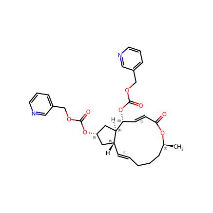 C[C@H]1CCC/C=C/[C@@H]2C[C@H](OC(=O)OCc3cccnc3)C[C@H]2[C@H](OC(=O)OCc2cccnc2)/C=C/C(=O)O1